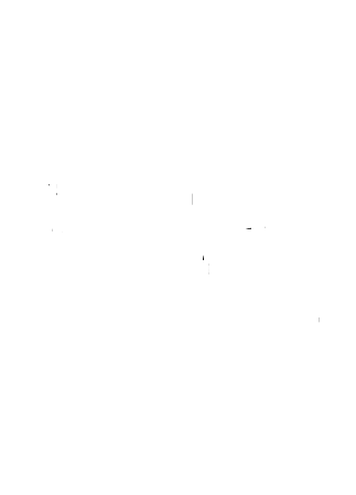 CCCCC(CC)C/C=C/[C@@H]1[C@@H]2CC(CCCCC(=O)N(C)C)=C[C@H]2C[C@H]1O